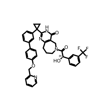 O=C([C@H](O)c1cccc(C(F)(F)F)c1)N1CCCc2nc(C3(c4cccc(-c5ccc(OCc6ccccn6)cc5)c4)CC3)[nH]c(=O)c2C1